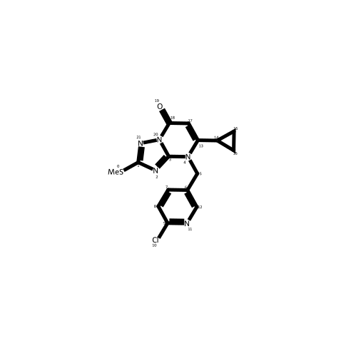 CSc1nc2n(Cc3ccc(Cl)nc3)c(C3CC3)cc(=O)n2n1